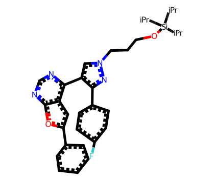 CC(C)[Si](OCCCn1cc(-c2ncnc3oc(-c4ccccc4)cc23)c(-c2ccc(F)cc2)n1)(C(C)C)C(C)C